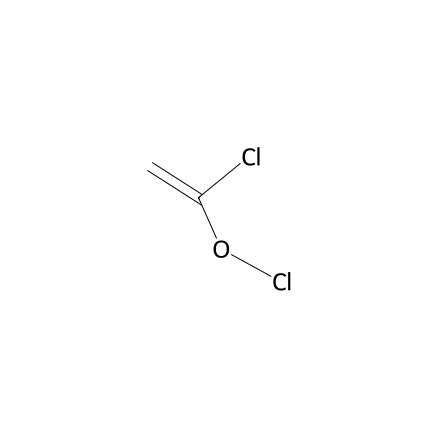 C=C(Cl)OCl